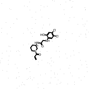 C=CC(=O)N1CCC[C@@H](NC(=O)CNc2cc(Cl)c(Cl)cc2O)C1